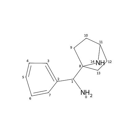 NC(c1ccccc1)C12CCC(CC1)N2